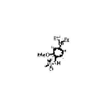 CCN(CC)c1ccc(NS(C)(=O)=O)c(OC)c1